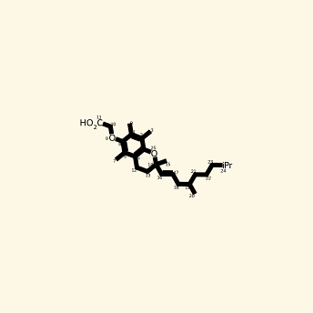 Cc1c(C)c2c(c(C)c1OCC(=O)O)CCC(C)(/C=C/CC(C)CCCC(C)C)O2